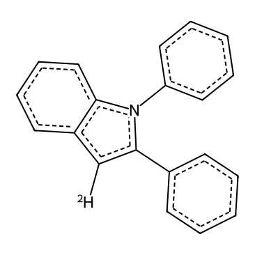 [2H]c1c(-c2ccccc2)n(-c2ccccc2)c2ccccc12